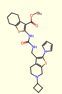 CC(C)(C)OC(=O)c1c(NC(=O)NCc2c(-n3cccc3)sc3c2CCN(C2CCC2)C3)sc2c1CCCC2